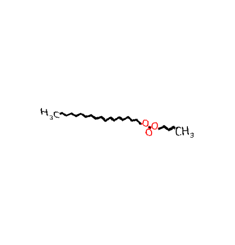 CCCCCCCCCCCCCCCCCCCOC(=O)OCCCCC